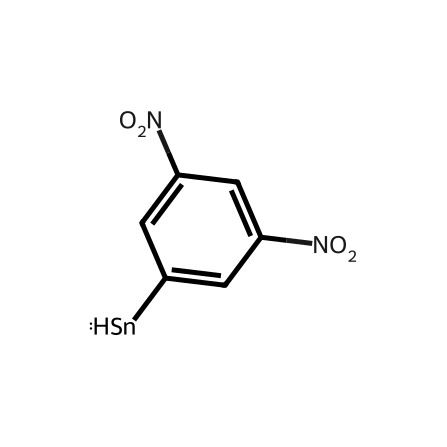 O=[N+]([O-])c1c[c]([SnH])cc([N+](=O)[O-])c1